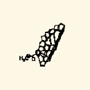 COC(=O)CCCC1(c2ccccc2)C23C4=C5C6=CC4c4ccc7c(c42)-c2c4c8c9c%10c(cc%11cc%12c%13c%14c%15c(c5c5c%16c(c2C513)c8c1c%10c%11c%13c1c%15%16)C6CC=%14C%12)CC=9CC74